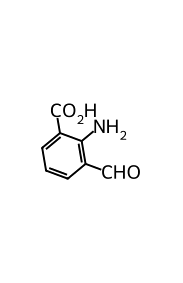 Nc1c(C=O)cccc1C(=O)O